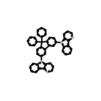 c1ccc(C2(c3ccccc3)c3ccc(-n4c5ccccc5c5ncccc54)cc3-c3cc(-n4c5ccccc5c5ncccc54)ccc32)cc1